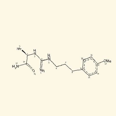 CCC[C@@H](NC(=N)NCCCc1ccc(OC)cc1)C(N)=O